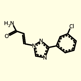 NC(=O)C=Cn1cnc(-c2cccc(Cl)c2)n1